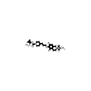 CC1(OC(=O)N2CCC(CCCOc3c(F)cc4c(c3F)CCN(S(C)(=O)=O)C4)CC2)CC1